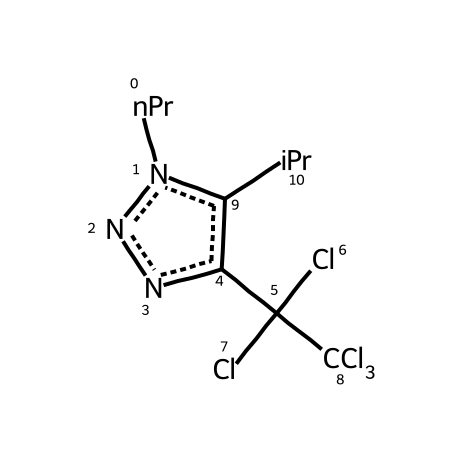 CCCn1nnc(C(Cl)(Cl)C(Cl)(Cl)Cl)c1C(C)C